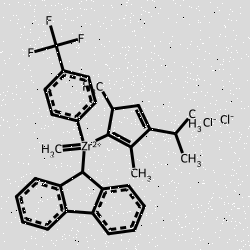 [CH2]=[Zr+2]([C]1=C(C)C(C(C)C)=CC1C)([c]1ccc(C(F)(F)F)cc1)[CH]1c2ccccc2-c2ccccc21.[Cl-].[Cl-]